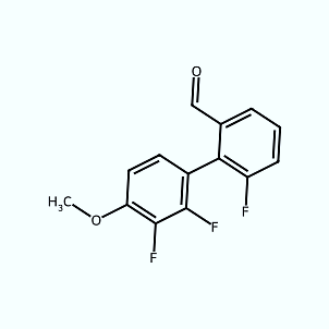 COc1ccc(-c2c(F)cccc2C=O)c(F)c1F